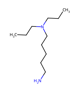 CCCN(CCC)CCCCCN